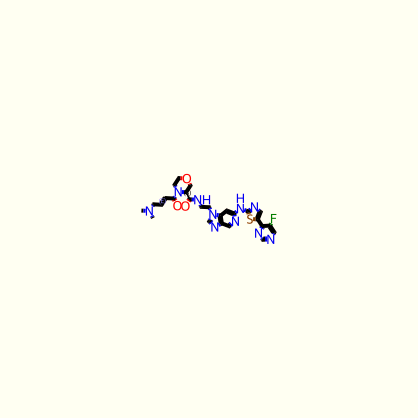 CN(C)C/C=C/C(=O)N1CCOC[C@H]1C(=O)NCCn1cnc2cnc(Nc3ncc(-c4ncncc4F)s3)cc21